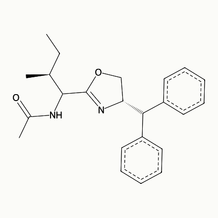 CC[C@H](C)C(NC(C)=O)C1=N[C@@H](C(c2ccccc2)c2ccccc2)CO1